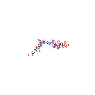 COc1c(NC(=O)c2ccc(NC(O)c3ccc(NC(=O)[C@H](CC#N)NC(=O)c4ccc(NC(=O)/C(C)=C/c5ccc(O)cc5)cc4)cn3)c(OC)c2O)ccc(C(=O)O)c1O